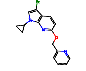 Brc1cn(C2CC2)c2nc(OCc3ccccn3)ccc12